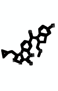 COCC1Cc2cc(Cl)ccc2N1C(=O)c1ccc2c(c1)[nH]c(=O)c1nnc(CC3CC3)n12